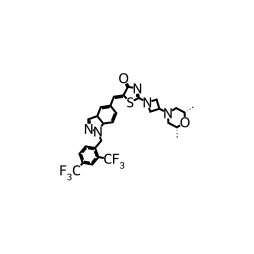 C[C@@H]1CN(C2CN(C3=NC(=O)/C(=C/C4=CC5C=NN(Cc6ccc(C(F)(F)F)cc6C(F)(F)F)C5C=C4)S3)C2)C[C@H](C)O1